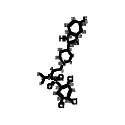 CC(C)N(CCN1CCC(c2nc3cc(F)ccc3[nH]2)CC1)S(=O)(=O)c1cc(Cl)c(Cl)cc1Cl